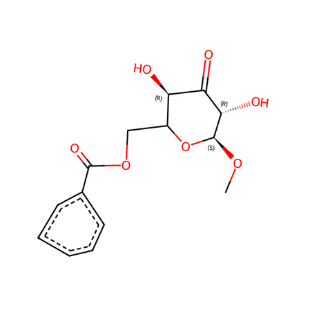 CO[C@H]1OC(COC(=O)c2ccccc2)[C@@H](O)C(=O)[C@@H]1O